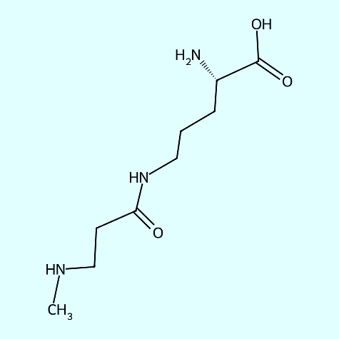 CNCCC(=O)NCCC[C@H](N)C(=O)O